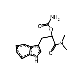 CN(C)C(=O)C(Cc1c[nH]c2ccccc12)OC(N)=O